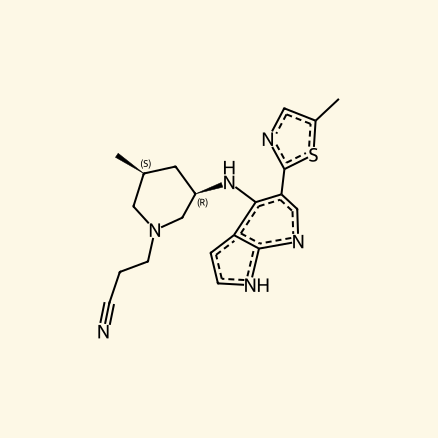 Cc1cnc(-c2cnc3[nH]ccc3c2N[C@@H]2C[C@H](C)CN(CCC#N)C2)s1